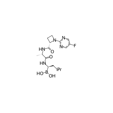 CC(C)C[C@H](NC(=O)[C@H](C)NC(=O)[C@@H]1CCN1c1ncc(F)cn1)B(O)O